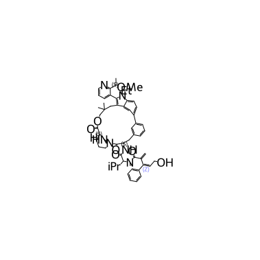 C=C(C(=O)N(C)C(C(=O)N[C@H]1Cc2cccc(c2)-c2ccc3c(c2)c(c(-c2cccnc2[C@H](C)OC)n3CC)CC(C)(C)COC(=O)[C@@H]2CCCN(N2)C1=O)C(C)C)/C(=C\CO)c1ccccc1